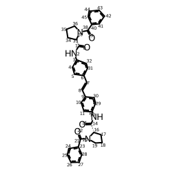 O=C(Nc1ccc(/C=C/c2ccc(NC(=O)[C@@H]3CCCN3C(=O)c3ccccc3)cc2)cc1)[C@@H]1CCCN1C(=O)c1ccccc1